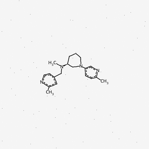 Cc1ccc(N2CCC[C@H](N(C)Cc3ccnc(C)c3)C2)cn1